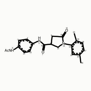 CC(=O)Nc1ccc(NC(=O)C2CC(=O)N(c3cc(C)ccc3C)C2)cc1